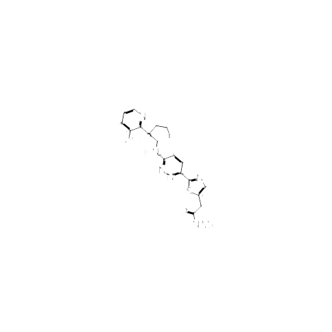 CNC(=O)Cc1cnc(-c2ccc(NC[C@](C)(C[C@H](C)F)c3ncccc3Cl)nn2)s1